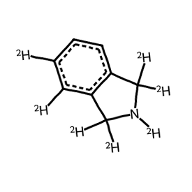 [2H]c1ccc2c(c1[2H])C([2H])([2H])N([2H])C2([2H])[2H]